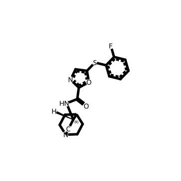 O=C(N[C@H]1CN2CCC1CC2)c1ncc(Sc2ccccc2F)o1